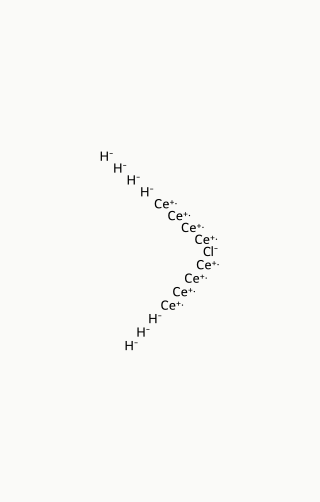 [Ce+].[Ce+].[Ce+].[Ce+].[Ce+].[Ce+].[Ce+].[Ce+].[Cl-].[H-].[H-].[H-].[H-].[H-].[H-].[H-]